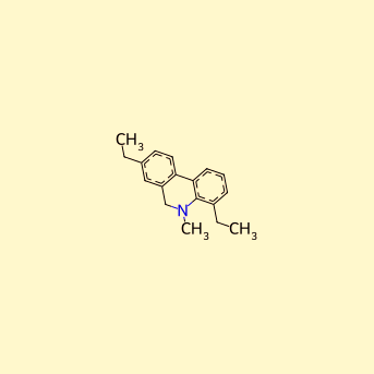 CCc1ccc2c(c1)CN(C)c1c(CC)cccc1-2